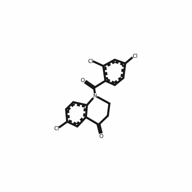 O=C1CCN(C(=O)c2ccc(Cl)cc2Cl)c2ccc(Cl)cc21